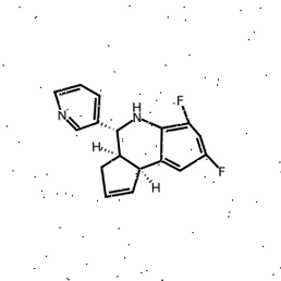 Fc1cc(F)c2c(c1)[C@H]1C=CC[C@H]1[C@H](c1cccnc1)N2